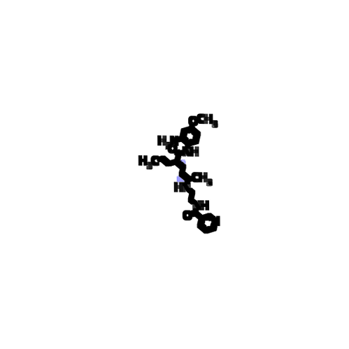 CC=C/C(=C\C=C(/C)NCCNC(=O)c1cccnc1)C(=O)Nc1ccc(OC)cc1N